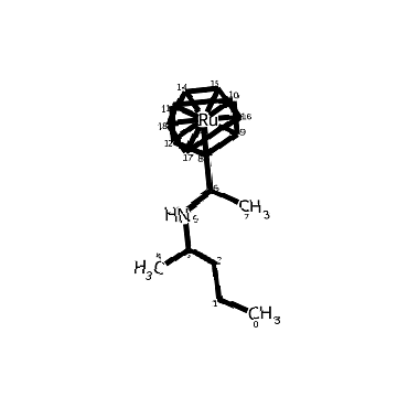 CCCC(C)NC(C)[C]12[CH]3[CH]4[CH]5[CH]1[Ru]45321678[CH]2[CH]1[CH]6[CH]7[CH]28